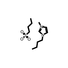 CCCCS(=O)(=O)[O-].CCCCn1cc[n+](C)c1